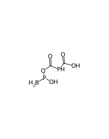 BP(O)OC(=O)PC(=O)O